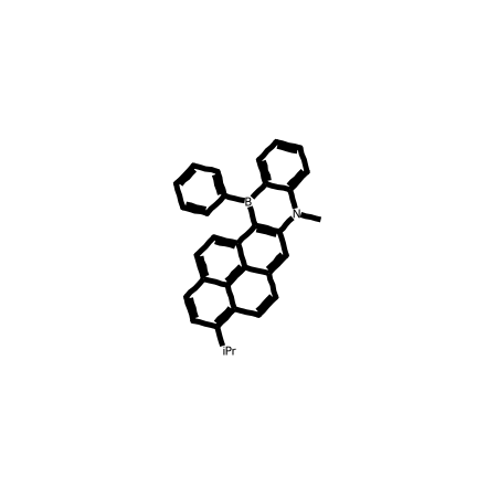 CC(C)c1ccc2ccc3c4c(cc5ccc1c2c53)N(C)c1ccccc1B4c1ccccc1